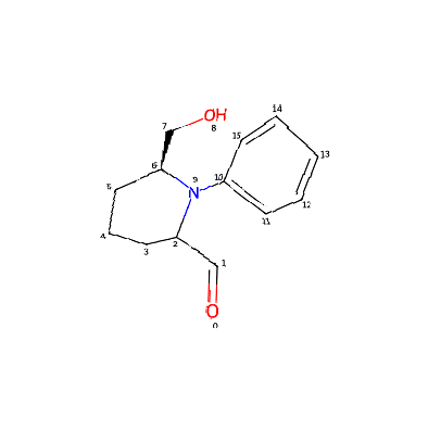 O=CC1CCC[C@@H](CO)N1c1ccccc1